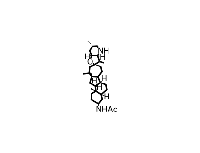 CC(=O)N[C@@H]1CC[C@@]2(C)[C@H](CC[C@H]3[C@@H]4CC[C@@]5(CC(C)=C4C[C@@H]32)O[C@@H]2C[C@H](C)CN[C@H]2C5C)C1